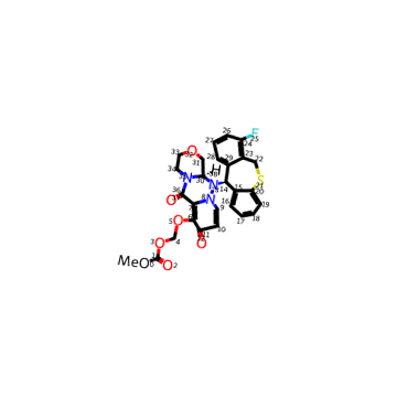 COC(=O)OCOc1c2n(ccc1=O)N([C@@H]1c3ccccc3SCc3c(F)cccc31)[C@@H]1COCCN1C2=O